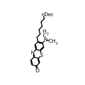 CCCCCCCCCCCCCCCCc1cc2nc3ccc(=O)cc-3sc2cc1N(C)C